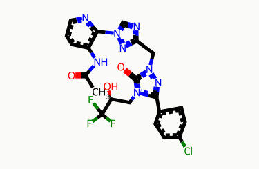 CC(=O)Nc1cccnc1-n1cnc(Cn2nc(-c3ccc(Cl)cc3)n(C[C@H](O)C(F)(F)F)c2=O)n1